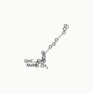 CNC(=O)C(CCC=O)N(C=O)Cc1cc(N2CCN(C(=O)CCCCCOCCOCCOCCCCCCOc3ccc4c(c3)CCCO4)CC2)ccc1C